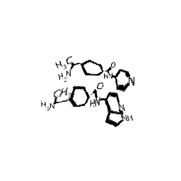 CC(N)[C@H]1CC[C@H](C(=O)Nc2ccnc3[nH]ccc23)CC1.CC(N)[C@H]1CC[C@H](C(=O)Nc2ccncc2)CC1